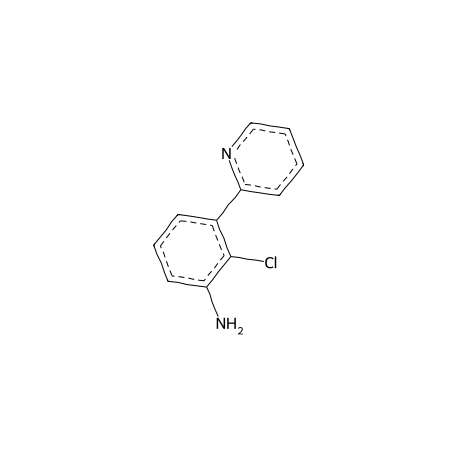 Nc1cccc(-c2ccccn2)c1Cl